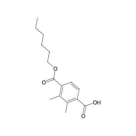 CCCCCCOC(=O)c1ccc(C(=O)O)c(C)c1C